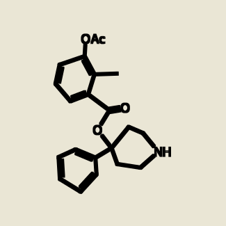 CC(=O)Oc1cccc(C(=O)OC2(c3ccccc3)CCNCC2)c1C